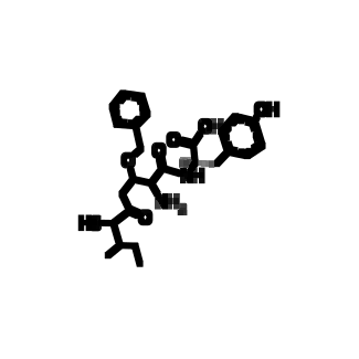 CCC(C)C(S)C(=O)CC(OCc1ccccc1)C(N)C(=O)N[C@@H](Cc1ccc(O)cc1)C(=O)O